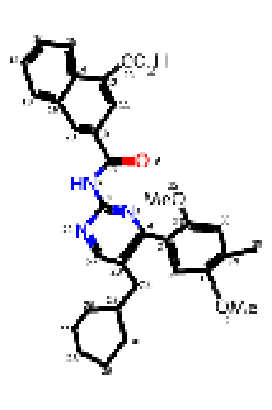 COc1cc(-c2nc(NC(=O)c3cc(C(=O)O)c4ccccc4c3)ncc2CC2CCCCC2)c(OC)cc1C